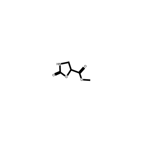 COC(=O)C1CNC(=O)O1